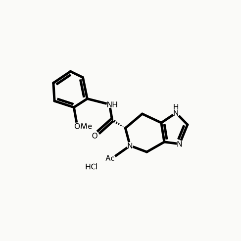 COc1ccccc1NC(=O)[C@@H]1Cc2[nH]cnc2CN1C(C)=O.Cl